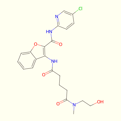 CN(CCO)C(=O)CCCC(=O)Nc1c(C(=O)Nc2ccc(Cl)cn2)oc2ccccc12